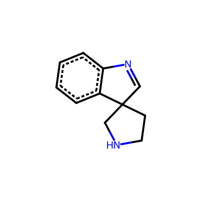 C1=Nc2ccccc2C12CCNC2